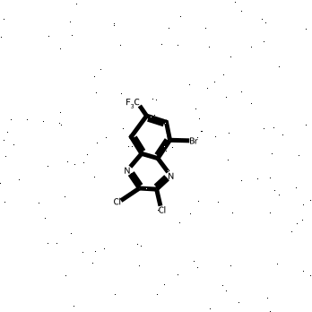 FC(F)(F)c1cc(Br)c2nc(Cl)c(Cl)nc2c1